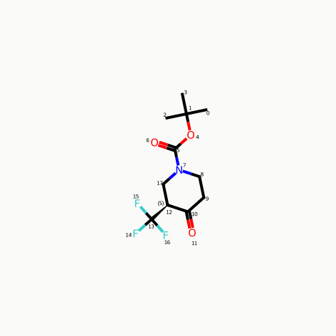 CC(C)(C)OC(=O)N1CCC(=O)[C@@H](C(F)(F)F)C1